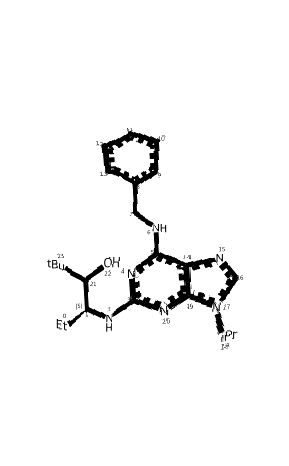 CC[C@H](Nc1nc(NCc2ccccc2)c2ncn(C(C)C)c2n1)C(O)C(C)(C)C